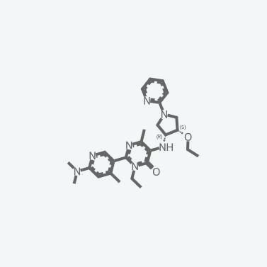 CCO[C@H]1CN(c2ccccn2)C[C@H]1Nc1c(C)nc(-c2cnc(N(C)C)cc2C)n(CC)c1=O